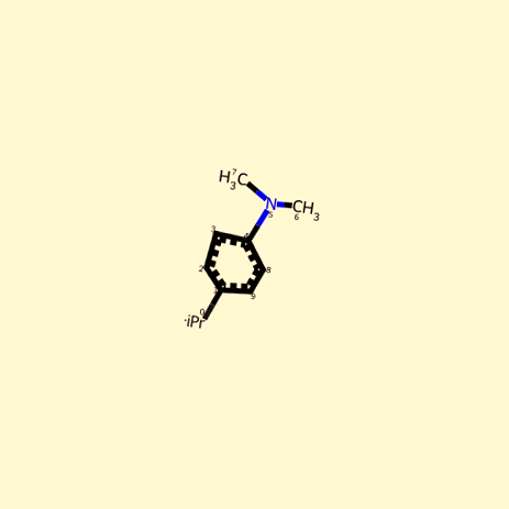 C[C](C)c1ccc(N(C)C)cc1